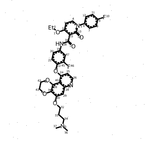 CCOc1ccn(-c2ccc(F)cc2)c(=O)c1C(=O)Nc1ccc(Oc2ccnc3cc(OCCCN(C)C)c4c(c23)OCCO4)c(F)c1